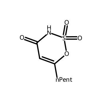 CCCCCC1=CC(=O)NS(=O)(=O)O1